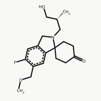 COCc1cc2c(cc1F)CN(C[C@@H](C)CO)C21CCC(=O)CC1